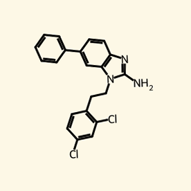 Nc1nc2ccc(-c3ccccc3)cc2n1CCc1ccc(Cl)cc1Cl